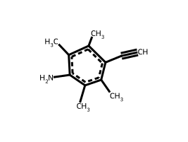 C#Cc1c(C)c(C)c(N)c(C)c1C